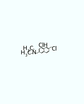 CCN(CC)Cc1ccc2cc(CCl)ccc2c1.Cl